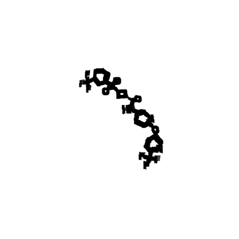 O=C(Nc1ccc(Oc2ccc(C(F)(F)F)nc2)nc1)[C@H]1C[C@H](S(=O)(=O)c2cccc(C(F)(F)F)c2)C1